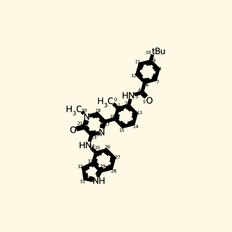 Cc1c(NC(=O)c2ccc(C(C)(C)C)cc2)cccc1-c1cn(C)c(=O)c(Nc2cccc3[nH]ccc23)n1